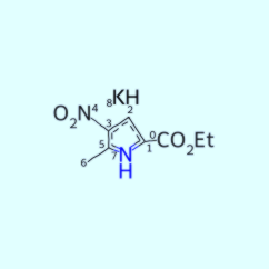 CCOC(=O)c1cc([N+](=O)[O-])c(C)[nH]1.[KH]